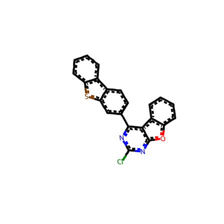 Clc1nc(-c2ccc3c(c2)sc2ccccc23)c2c(n1)oc1ccccc12